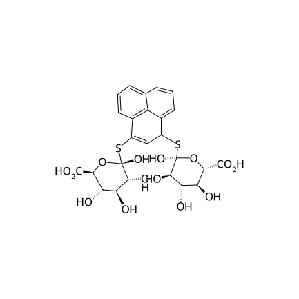 O=C(O)[C@H]1O[C@](O)(SC2=CC(S[C@@]3(O)O[C@H](C(=O)O)[C@@H](O)[C@H](O)[C@H]3O)c3cccc4cccc2c34)[C@H](O)[C@@H](O)[C@@H]1O